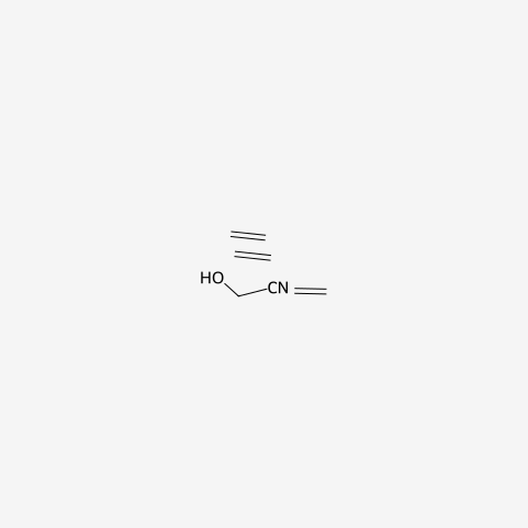 C=C.C=C.C=C.N#CCO